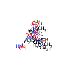 CC[C@H](C)[C@@H]([C@@H](CC(=O)N1CCC[C@H]1[C@H](OC)[C@@H](C)C(=O)N[C@@H](Cc1ccc(OC(=O)NCCCCCC(=O)NO)cc1)C(=O)NS(C)(=O)=O)OC)N(C)C(=O)[C@@H](NC(=O)C(C(C)C)N(C)C)C(C)C